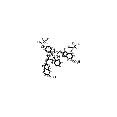 O=C(O)C(F)(F)F.O=C(O)C(F)(F)F.O=C(O)c1ccc2[nH]c(N=C3NC4(c5ccccn5)NC(=Nc5nc6cc(C(=O)O)ccc6[nH]5)NC4(c4ccccn4)N3)nc2c1